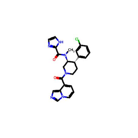 CN(C(=O)c1ncc[nH]1)[C@@H]1CN(C(=O)c2cccn3cncc23)CC[C@H]1c1cccc(Cl)c1